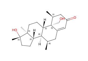 C[C@@H]1CC2=CC(=O)C[C@H](C)[C@]2(CO)[C@H]2CC[C@@]3(C)[C@@H](CC[C@]3(C)O)[C@H]12